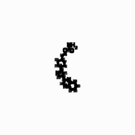 NC(=O)OCCC1CCC(n2cc(-c3cnc4ccccc4n3)cn2)CC1